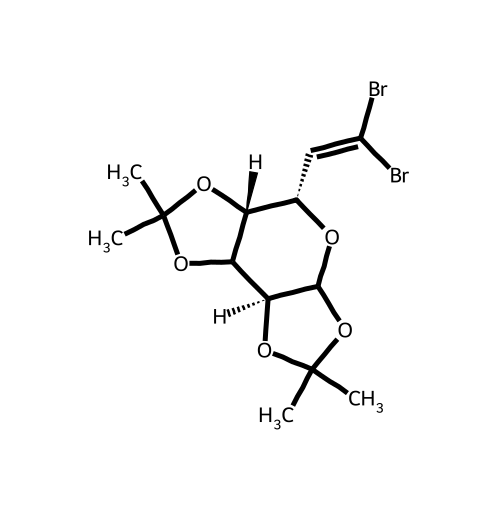 CC1(C)OC2O[C@@H](C=C(Br)Br)[C@H]3OC(C)(C)OC3[C@@H]2O1